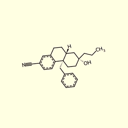 CCC[C@@]1(O)CC[C@@]2(Cc3ccccc3)c3ccc(C#N)cc3CC[C@@H]2C1